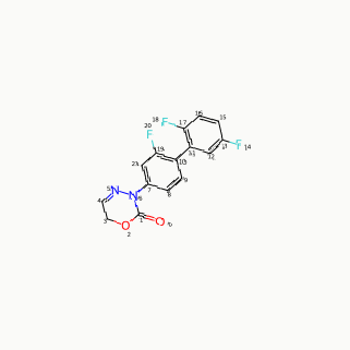 O=C1OCC=NN1c1ccc(-c2cc(F)ccc2F)c(F)c1